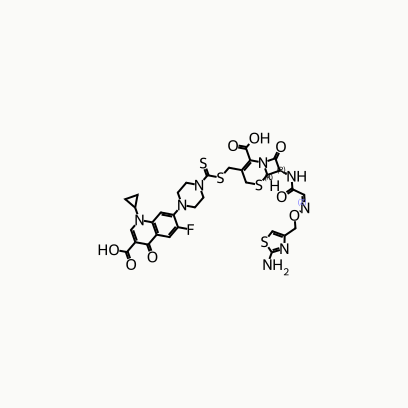 Nc1nc(CO/N=C\C(=O)N[C@@H]2C(=O)N3C(C(=O)O)=C(CSC(=S)N4CCN(c5cc6c(cc5F)c(=O)c(C(=O)O)cn6C5CC5)CC4)CS[C@H]23)cs1